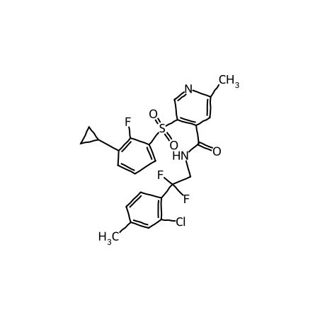 Cc1ccc(C(F)(F)CNC(=O)c2cc(C)ncc2S(=O)(=O)c2cccc(C3CC3)c2F)c(Cl)c1